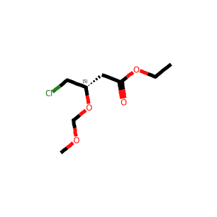 CCOC(=O)C[C@@H](CCl)OCOC